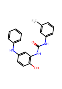 O=C(Nc1cccc(C(F)(F)F)c1)Nc1cc(Nc2ccccc2)ccc1O